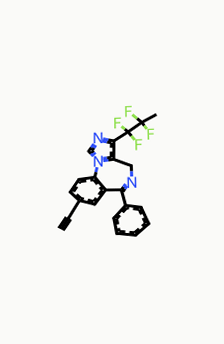 C#Cc1ccc2c(c1)C(c1ccccc1)=NCc1c(C(F)(F)C(C)(F)F)ncn1-2